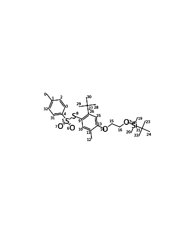 Cc1ccc(S(=O)(=O)Sc2cc(C)c(OCCO[Si](C)(C)C(C)(C)C)cc2C(C)(C)C)cc1